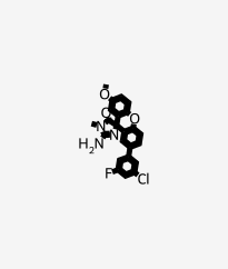 COc1ccc2c(c1)C1(N=C(N)N(C)C1=O)c1cc(-c3cc(F)cc(Cl)c3)ccc1O2